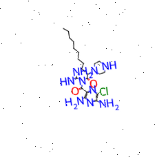 CCCCCCCCCC(C(=O)N(C(=N)N)C(=O)c1nc(Cl)c(N)nc1N)N1CCNCC1